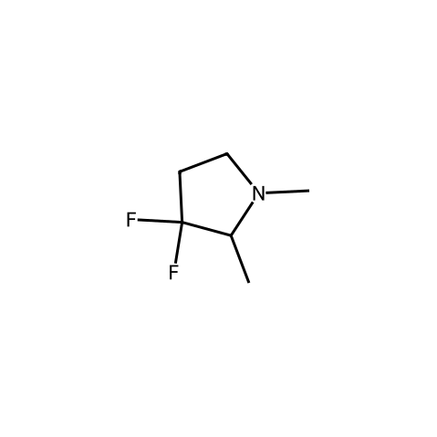 CC1N(C)CCC1(F)F